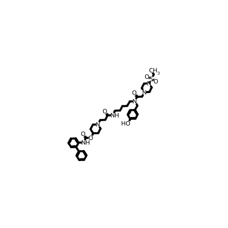 CCS(=O)(=O)N1CCN(CC(=O)N(CCCCCNC(=O)CCN2CCC(OC(=O)Nc3ccccc3-c3ccccc3)CC2)Cc2ccc(O)cc2)CC1